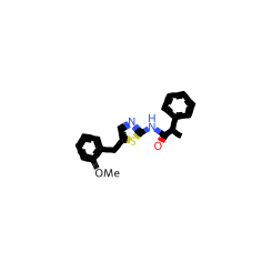 COc1ccccc1Cc1cnc(NC(=O)C(C)c2ccccc2)s1